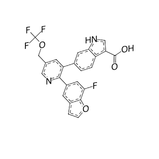 O=C(O)c1c[nH]c2cc(-c3cc(COC(F)(F)F)cnc3-c3cc(F)c4occc4c3)ccc12